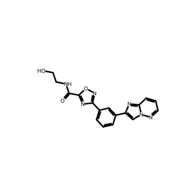 O=C(NCCO)c1nc(-c2cccc(-c3cn4ncccc4n3)c2)no1